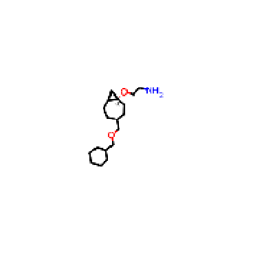 NCCO[C@]12CCC(COCC3CCCCC3)CCC1C2